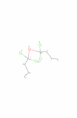 CCCC(Cl)(Cl)OC(Cl)(Cl)CCC